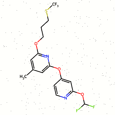 Cc1cc(OCCCSC(F)(F)F)nc(Oc2ccnc(OC(F)F)c2)c1